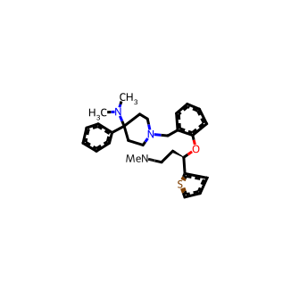 CNCC[C@@H](Oc1ccccc1CN1CCC(c2ccccc2)(N(C)C)CC1)c1cccs1